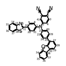 N#Cc1ccc(N(c2ccc(-c3nc4ccccc4s3)cc2)c2ccc(-c3cccc4c3oc3ccccc34)cc2)cc1C#N